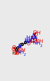 Cc1cc(-c2ccc(NC(=O)[C@@H](CCCCN)NC(=O)CN3CCN(CC(=O)O)CCN(CC(=O)O)CC3)c(C)c2)ccc1/N=N/c1ccc2c([SH](=O)=O)cc([SH](=O)=O)c(N)c2c1O